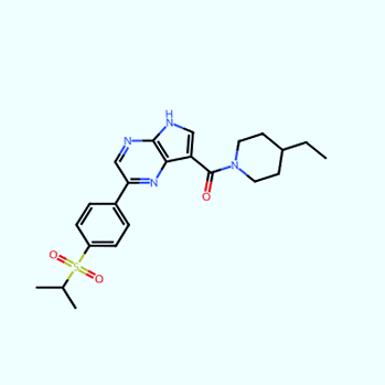 CCC1CCN(C(=O)c2c[nH]c3ncc(-c4ccc(S(=O)(=O)C(C)C)cc4)nc23)CC1